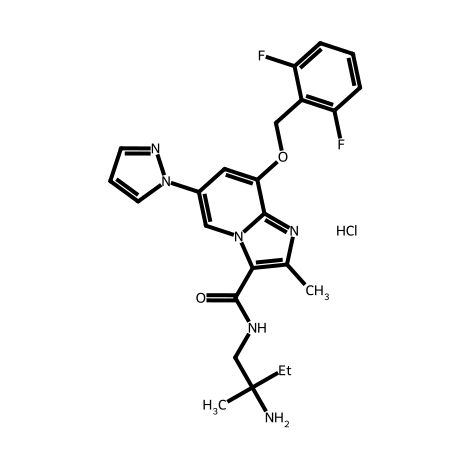 CCC(C)(N)CNC(=O)c1c(C)nc2c(OCc3c(F)cccc3F)cc(-n3cccn3)cn12.Cl